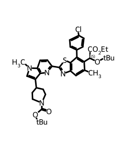 CCOC(=O)[C@@H](OC(C)(C)C)c1c(C)cc2nc(-c3ccc4c(n3)c(C3CCN(C(=O)OC(C)(C)C)CC3)cn4C)sc2c1-c1ccc(Cl)cc1